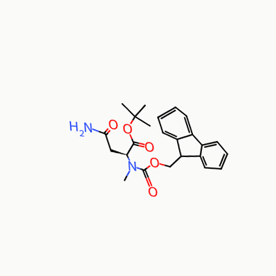 CN(C(=O)OCC1c2ccccc2-c2ccccc21)[C@@H](CC(N)=O)C(=O)OC(C)(C)C